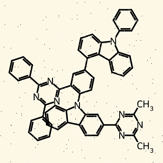 Cc1nc(C)nc(-c2ccc3c4ccccc4n(-c4ccc(-c5cccc6c5c5ccccc5n6-c5ccccc5)cc4-c4nc(-c5ccccc5)nc(-c5ccccc5)n4)c3c2)n1